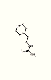 N=C(N)NCCN1CCOCC1